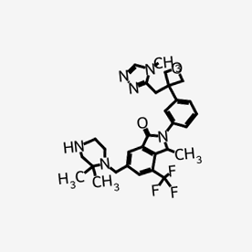 CC1c2c(cc(CN3CCNCC3(C)C)cc2C(F)(F)F)C(=O)N1c1cccc(C2(Cc3nncn3C)COC2)c1